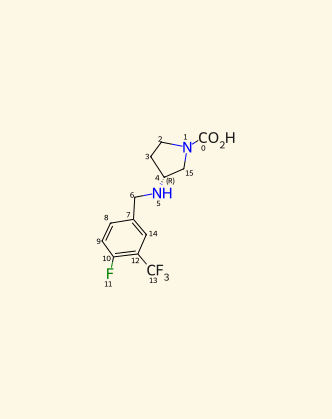 O=C(O)N1CC[C@@H](NCc2ccc(F)c(C(F)(F)F)c2)C1